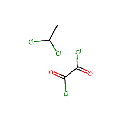 CC(Cl)Cl.O=C(Cl)C(=O)Cl